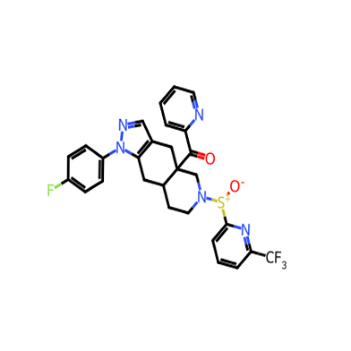 O=C(c1ccccn1)C12Cc3cnn(-c4ccc(F)cc4)c3CC1CCN([S+]([O-])c1cccc(C(F)(F)F)n1)C2